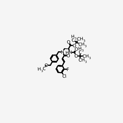 COCc1ccc(CN(C[C@H](NC(=O)OC(C)(C)C)C(=O)OC(C)(C)C)C(=O)/C=C/c2cccc(Cl)c2F)cc1